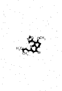 COc1ccc2c(Br)cc(CCC(C)C)nc2c1-c1cnco1